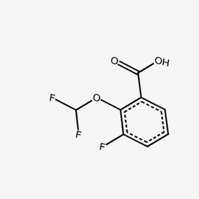 O=C(O)c1cccc(F)c1OC(F)F